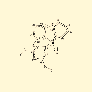 CCc1cc(CC)cc([Si](Cl)(c2ccccc2)c2c(C)cccc2C)c1